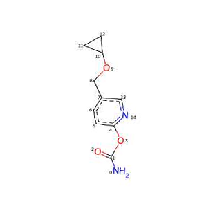 NC(=O)Oc1ccc(COC2CC2)cn1